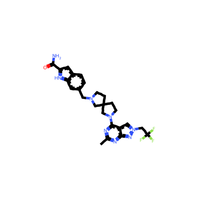 Cc1nc(N2CCC3(CCN(Cc4ccc5cc(C(N)=O)[nH]c5c4)C3)C2)c2cn(CC(F)(F)F)nc2n1